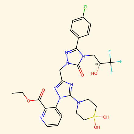 CCOC(=O)c1ncccc1-n1nc(Cn2nc(-c3ccc(Cl)cc3)n(C[C@@H](O)C(F)(F)F)c2=O)nc1N1CCS(O)(O)CC1